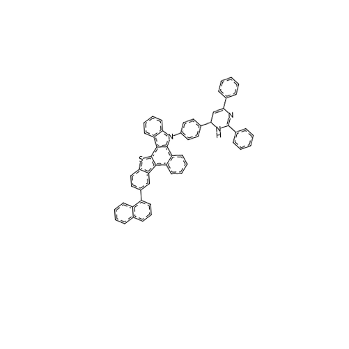 C1=C(c2ccccc2)N=C(c2ccccc2)NC1c1ccc(-n2c3ccccc3c3c4sc5ccc(-c6cccc7ccccc67)cc5c4c4ccccc4c32)cc1